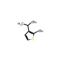 CC(c1ccsc1C(C)(C)C)C(C)(C)C